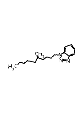 C=C(CCCCC)CCCCn1nnc2ccccc21